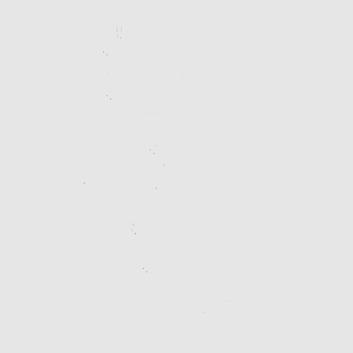 CCOc1cc2c(Oc3cnc(CC(=O)Nc4n[nH]c(C)c4CC)c(OC)c3)ncnc2cc1OC